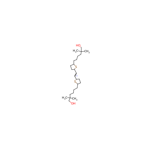 CC(C)(CO)CCCCC1CCC(/C=C/C2CCC(CCCCC(C)(C)CO)S2)S1